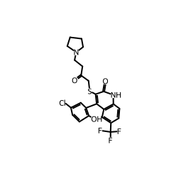 O=C(CCN1CCCC1)CSc1c(-c2cc(Cl)ccc2O)c2cc(C(F)(F)F)ccc2[nH]c1=O